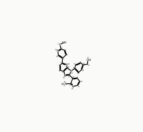 CC(C)Oc1ccc(-c2ccc3nc(-c4cccnc4N)n(-c4ccc(CO)cc4)c3n2)cn1